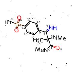 CNC(=O)C(C)(NC)C(=N)c1ccc(S(=O)(=O)C(C)C)cc1